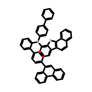 c1ccc(-c2ccc(N(c3ccccc3-c3ccc(-c4cc5ccccc5c5ccccc45)cc3)c3cccc4c3sc3c5ccccc5ccc43)cc2)cc1